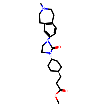 COC(=O)CC[C@H]1CC[C@H](N2CCN(c3ccc4c(c3)CCN(C)CC4)C2=O)CC1